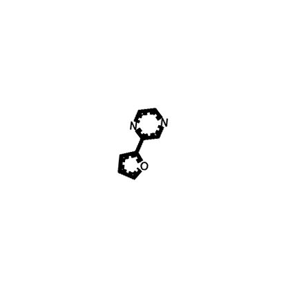 c1coc(-c2cnccn2)c1